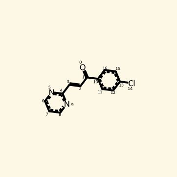 O=C(C=Cc1ncccn1)c1ccc(Cl)cc1